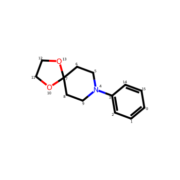 c1ccc(N2CCC3(CC2)OCCO3)cc1